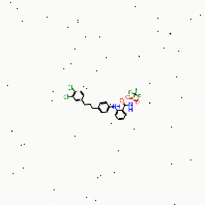 O=C(NS(=O)(=O)C(F)(F)F)c1ccccc1Nc1ccc(CCCc2ccc(Cl)c(Cl)c2)cc1